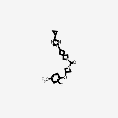 O=C(N1CC(Oc2ccc(C(F)(F)F)cc2F)C1)N1CC2(CC(n3cnc(C4CC4)n3)C2)C1